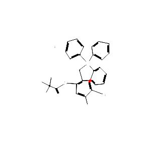 O=C(Nc1cc(Cl)c(Br)cc1C[P+](c1ccccc1)(c1ccccc1)c1ccccc1)C(F)(F)F.[Br-]